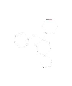 c1ccc(CC2(N3CCOCC3)CCC3(CC2)OCCO3)cc1